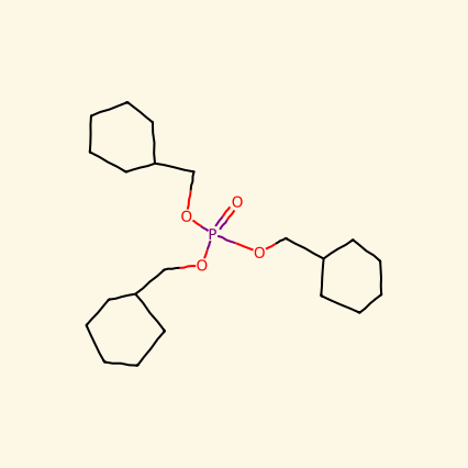 O=P(OCC1CCCCC1)(OCC1CCCCC1)OCC1CCCCC1